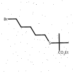 CCOC(=O)C(C)(C)SCCCCCBr